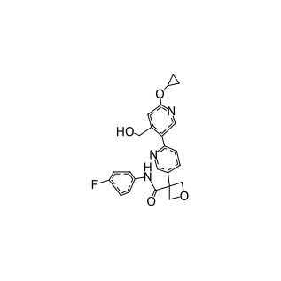 O=C(Nc1ccc(F)cc1)C1(c2ccc(-c3cnc(OC4CC4)cc3CO)nc2)COC1